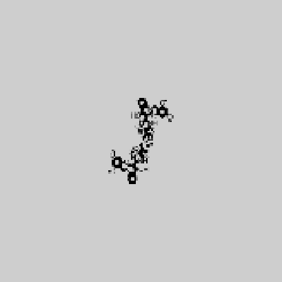 COc1ccc(CN2C(=O)C(C3=NS(=O)(=O)c4c(CN(Cc5csc6c5S(=O)(=O)N=C(C5=C(O)C7C8C=CC(C8)C7N(Cc7ccc(OC)cc7OC)C5=O)N6)S(C)(=O)=O)csc4N3)=C(O)C3C4C=CC(C4)C32)c(OC)c1